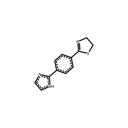 c1c[nH]c(-c2ccc(C3=NCCS3)cc2)n1